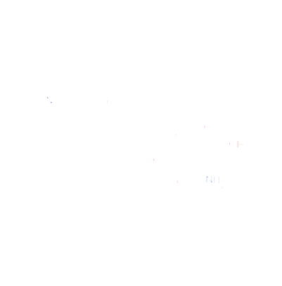 NC(=O)C1(CS(=O)(=O)c2ccc3oc(-c4ccncc4)cc3c2)CCOC(O)C1